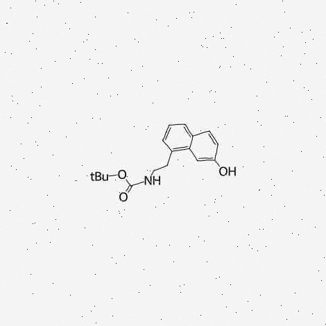 CC(C)(C)OC(=O)NCCc1cccc2ccc(O)cc12